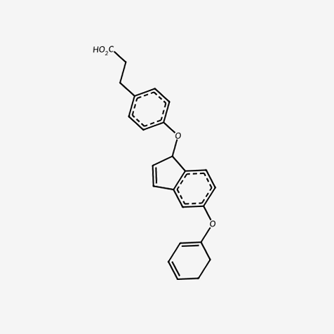 O=C(O)CCc1ccc(OC2C=Cc3cc(OC4=CC=CCC4)ccc32)cc1